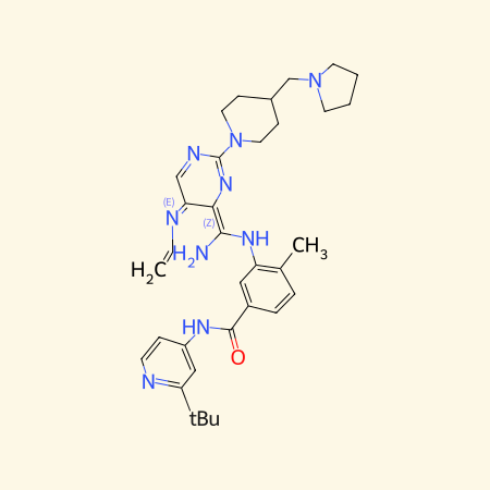 C=C/N=C1/C=NC(N2CCC(CN3CCCC3)CC2)=N/C1=C(/N)Nc1cc(C(=O)Nc2ccnc(C(C)(C)C)c2)ccc1C